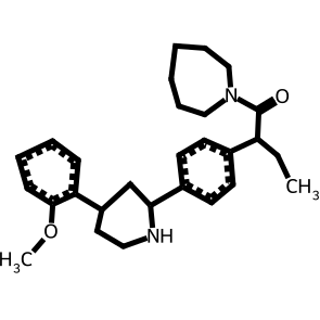 CCC(C(=O)N1CCCCCC1)c1ccc(C2CC(c3ccccc3OC)CCN2)cc1